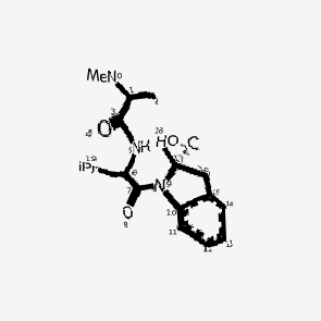 CNC(C)C(=O)NC(C(=O)N1c2ccccc2CC1C(=O)O)C(C)C